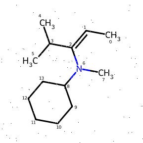 C/C=C(/C(C)C)N(C)C1CCCCC1